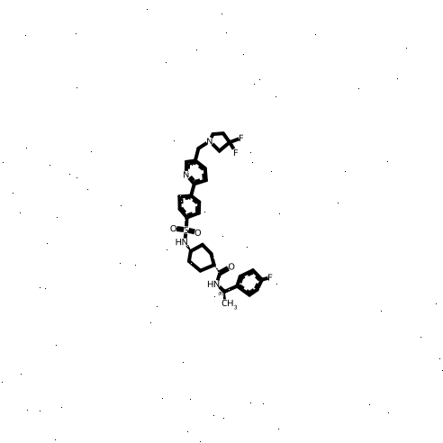 C[C@@H](NC(=O)[C@H]1CC[C@H](NS(=O)(=O)c2ccc(-c3ccc(CN4CCC(F)(F)C4)cn3)cc2)CC1)c1ccc(F)cc1